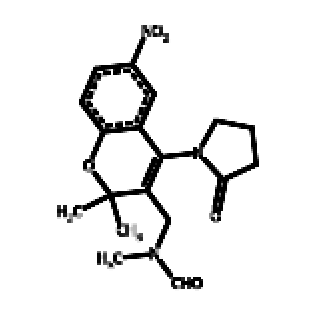 CN(C=O)CC1=C(N2CCCC2=O)c2cc([N+](=O)[O-])ccc2OC1(C)C